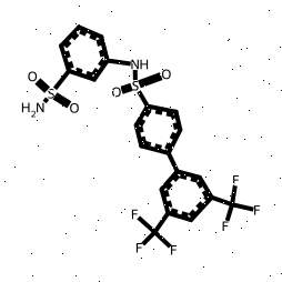 NS(=O)(=O)c1cccc(NS(=O)(=O)c2ccc(-c3cc(C(F)(F)F)cc(C(F)(F)F)c3)cc2)c1